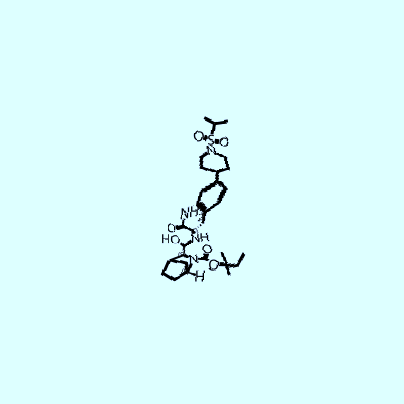 CCC(C)(C)OC(=O)N1[C@@H]2CCC(C2)[C@H]1C(O)N[C@@H](Cc1ccc(C2CCN(S(=O)(=O)C(C)C)CC2)cc1)C(N)=O